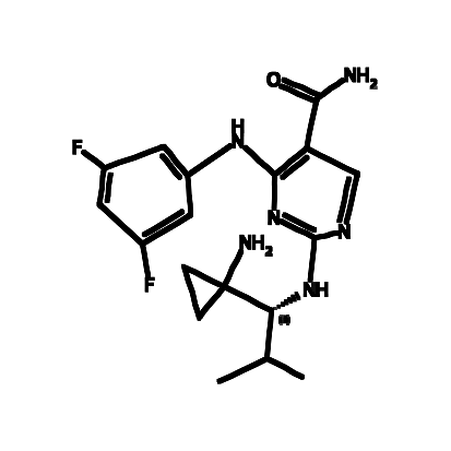 CC(C)[C@@H](Nc1ncc(C(N)=O)c(Nc2cc(F)cc(F)c2)n1)C1(N)CC1